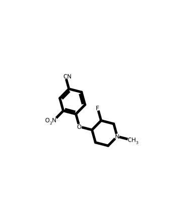 CN1CCC(Oc2ccc(C#N)cc2[N+](=O)[O-])C(F)C1